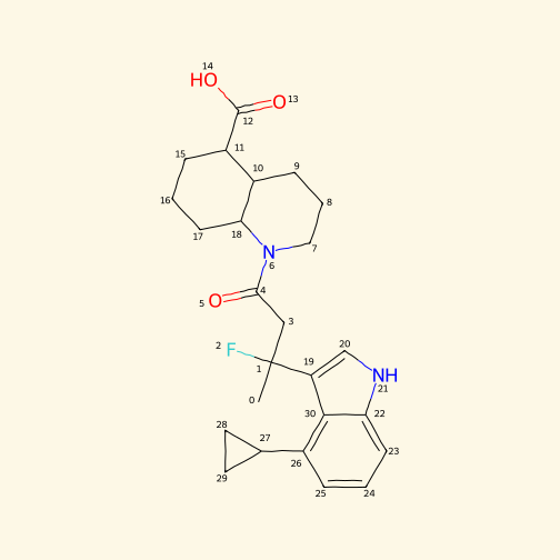 CC(F)(CC(=O)N1CCCC2C(C(=O)O)CCCC21)c1c[nH]c2cccc(C3CC3)c12